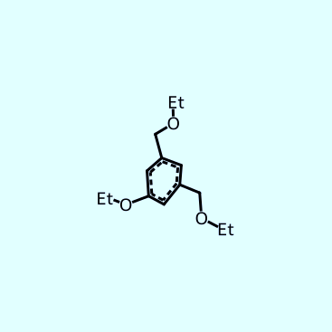 CCOCc1cc(COCC)cc(OCC)c1